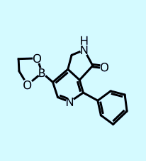 O=C1NCc2c(B3OCCO3)cnc(-c3ccccc3)c21